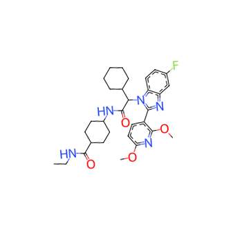 CCNC(=O)C1CCC(NC(=O)C(C2CCCCC2)n2c(-c3ccc(OC)nc3OC)nc3cc(F)ccc32)CC1